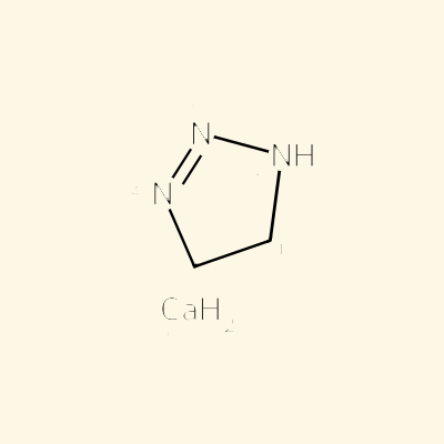 C1CNN=N1.[CaH2]